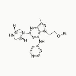 CCOCCn1nc(C)c2nc(N3C[C@@H]4C[C@H]3CN4)nc(Nc3ccncn3)c21